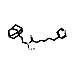 CCCCCN(CCC12CC3CC(CC(C3)C1)C2)C(=O)CCCCCc1ccncc1